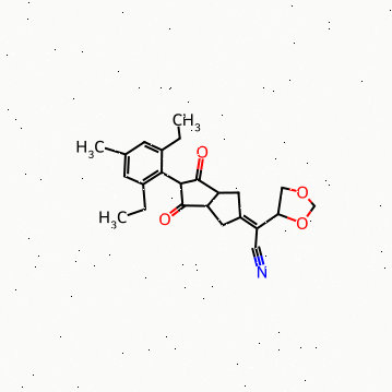 CCc1cc(C)cc(CC)c1C1C(=O)C2CC(=C(C#N)C3COCO3)CC2C1=O